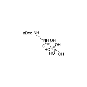 CCCCCCCCCCNCCCNC(=O)[C@H](O)[C@@H](O)[C@H](O)[C@H](O)CO